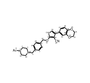 CC(=O)N1CCN(Cc2ccc(COc3scc(-c4ccc5c(c4)OCCO5)c3C#N)cc2)CC1